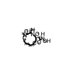 CC(C)[C@@H]1NC(=O)[C@@H](CC(=O)NO)CCC/C=C/CCCN(C)C1=O